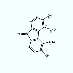 O=Cc1c(O)ccc2c1-c1c(ccc(O)c1C=O)C2=O